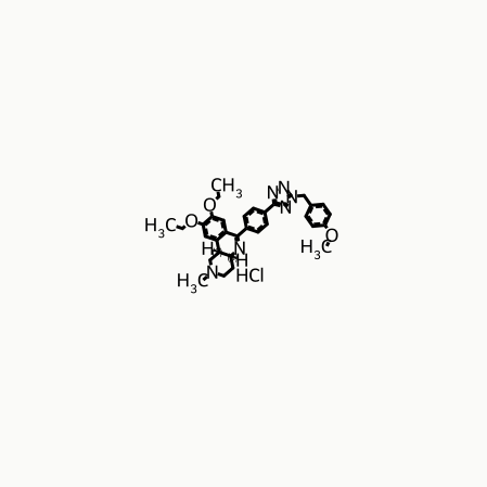 CCOc1cc2c(cc1OCC)[C@H]1CN(C)CC[C@H]1N=C2c1ccc(-c2nnn(Cc3ccc(OC)cc3)n2)cc1.Cl